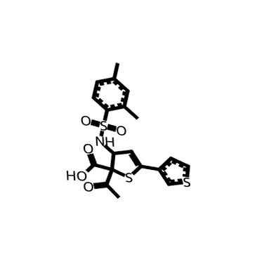 CC(=O)C1(C(=O)O)SC(c2ccsc2)=CC1NS(=O)(=O)c1ccc(C)cc1C